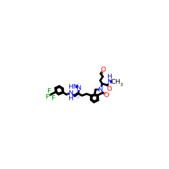 CNC(=O)C(CCC=O)N1Cc2c(CC/C(=C/NCc3cccc(C(F)(F)F)c3)N=N)cccc2C1=O